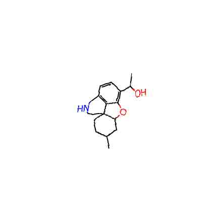 CC1CCC23CCNCc4ccc(C(C)O)c(c42)OC3C1